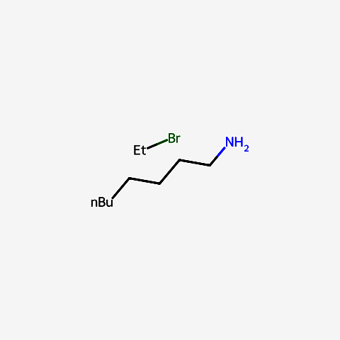 CCBr.CCCCCCCCN